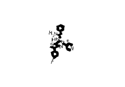 N[C@H](CNc1nc(-c2ccncc2F)nc2c(-c3ccc(F)cc3)csc12)Cc1ccccc1